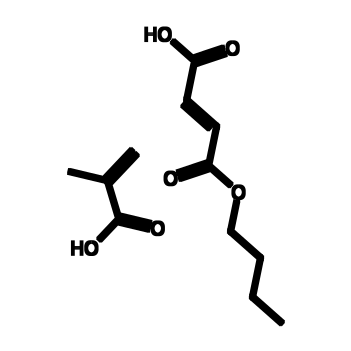 C=C(C)C(=O)O.CCCCOC(=O)C=CC(=O)O